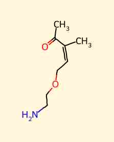 CC(=O)/C(C)=C\COCCN